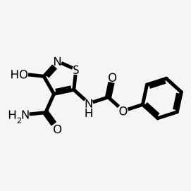 NC(=O)c1c(O)nsc1NC(=O)Oc1ccccc1